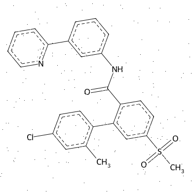 Cc1cc(Cl)ccc1-c1cc(S(C)(=O)=O)ccc1C(=O)Nc1cccc(-c2ccccn2)c1